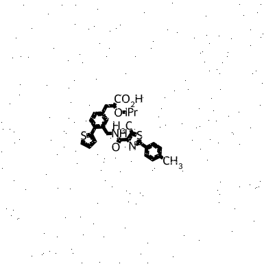 Cc1ccc(-c2nc(C(=O)NCc3cc(CC(OC(C)C)C(=O)O)ccc3-c3cccs3)c(C)s2)cc1